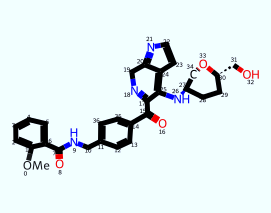 COc1ccccc1C(=O)NCc1ccc(C(=O)C2=NCC3=NC=CC3=C2N[C@@H]2CC[C@@H](CO)OC2)cc1